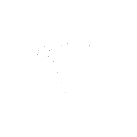 CCCCCCCCC(O)c1ccccc1C#CC(O)CCCC(=O)OC